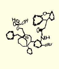 CC(C)(C)c1ccc(C(Cc2ccccc2)C[C@H](COP(=O)(O)O)C2(Cc3ccccc3)CCCCC2)cc1NC(=O)CC1c2ccccc2Oc2ccccc21